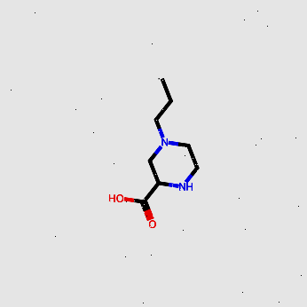 [CH2]CCN1CCNC(C(=O)O)C1